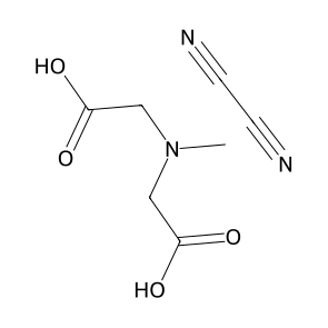 CN(CC(=O)O)CC(=O)O.N#CC#N